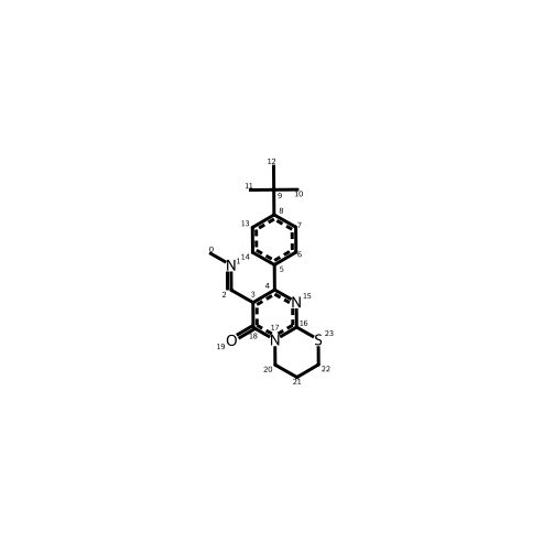 C/N=C/c1c(-c2ccc(C(C)(C)C)cc2)nc2n(c1=O)CCCS2